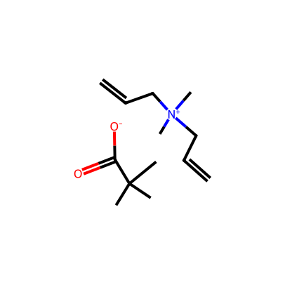 C=CC[N+](C)(C)CC=C.CC(C)(C)C(=O)[O-]